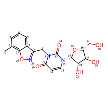 Cc1cccc2c(Cn3c(=O)ccn([C@@H]4O[C@H](CO)C(O)[C@@H]4O)c3=O)noc12